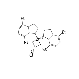 CCC1=CC=C(CC)C2C1CC[CH]2[Zr+2]1([CH]2CCC3C(CC)=CC=C(CC)C32)[CH2]C[CH2]1.[Cl-].[Cl-]